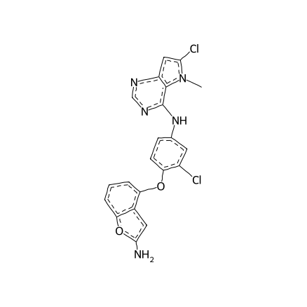 Cn1c(Cl)cc2ncnc(Nc3ccc(Oc4cccc5oc(N)cc45)c(Cl)c3)c21